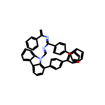 C=C(/N=C(\N=C\n1c2ccccc2c2cccc(-c3ccc(-c4ccccc4)cc3)c21)c1ccc(-c2ccccc2)cc1)c1ccccc1